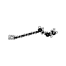 COC(COCCOCCOCCOCCOCCOCCc1cc(Cl)cc(NC(=O)NCc2ccc3c(c2)CN(C2CCC(=O)NC2=O)C3=O)c1)OC